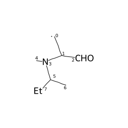 [CH2]C(C=O)N(C)C(C)CC